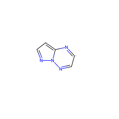 [c]1cnn2nccc2n1